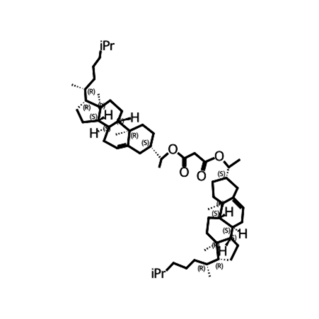 CC(C)CCC[C@@H](C)[C@H]1CC[C@H]2[C@@H]3CC=C4C[C@@H](C(C)OC(=O)CC(=O)OC(C)[C@H]5CC[C@@]6(C)C(=CC[C@H]7[C@@H]8CC[C@H]([C@H](C)CCCC(C)C)[C@@]8(C)CC[C@@H]76)C5)CC[C@]4(C)[C@H]3CC[C@]12C